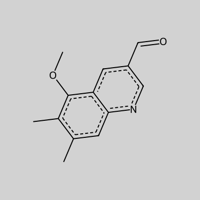 COc1c(C)c(C)cc2ncc(C=O)cc12